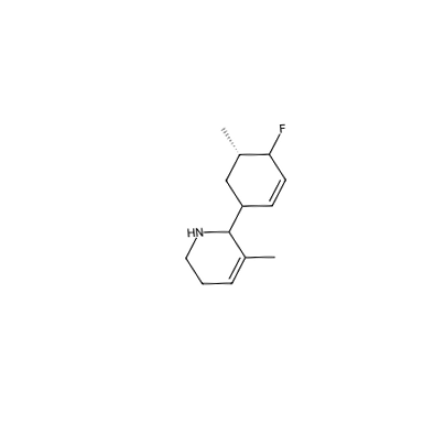 CC1=CCCNC1C1C=CC(F)[C@@H](C)C1